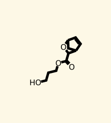 O=C(OCCCO)C1OC2C=CC1C2